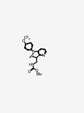 CN1C(CNC(=O)OC(C)(C)C)c2ncccc2N1c1ccc(OC(F)(F)F)cc1